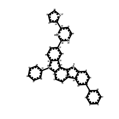 c1ccc(-c2ccc3sc4c(ccc5c4c4cc(-c6nccc(-c7cccs7)n6)ccc4n5-c4ccccc4)c3c2)cc1